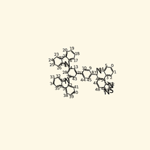 c1ccc2c(c1)nc(-c1ccc(-c3cc(-n4c5ccccc5c5ccccc54)cc(-n4c5ccccc5c5ccccc54)c3)cc1)c1ccc3nsnc3c12